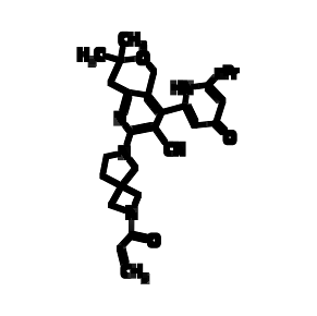 C=CC(=O)N1CC2(CCN(c3nc4c(c(-c5cc(=O)cc(CCC)[nH]5)c3C#N)COC(C)(C)C4)C2)C1